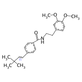 COc1ccc(CCNC(=O)c2ccc(/C=C/C(C)(C)C)cc2)cc1OC